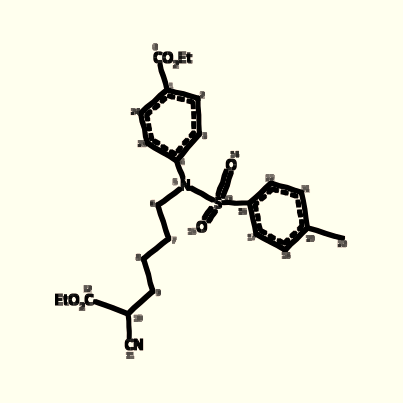 CCOC(=O)c1ccc(N(CCCCC(C#N)C(=O)OCC)S(=O)(=O)c2ccc(C)cc2)cc1